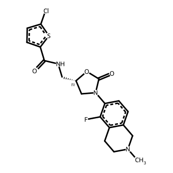 CN1CCc2c(ccc(N3C[C@H](CNC(=O)c4ccc(Cl)s4)OC3=O)c2F)C1